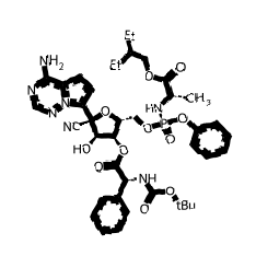 CCC(CC)COC(=O)[C@H](C)N[P@](=O)(OC[C@H]1O[C@@](C#N)(c2ccc3c(N)ncnn23)[C@H](O)[C@@H]1OC(=O)[C@H](NC(=O)OC(C)(C)C)c1ccccc1)Oc1ccccc1